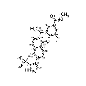 CNC(=O)c1cc(F)cc(C(C)n2ccc3cc(-c4cn[nH]c4C(F)(F)F)ccc3c2=O)c1